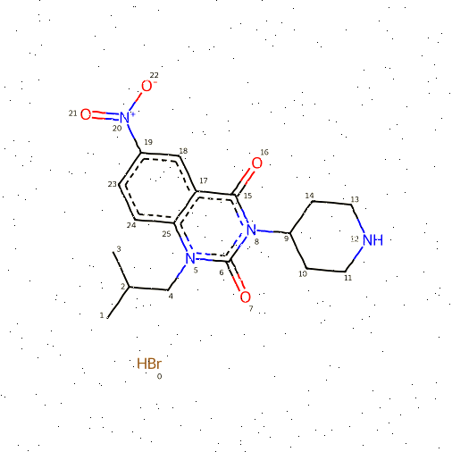 Br.CC(C)Cn1c(=O)n(C2CCNCC2)c(=O)c2cc([N+](=O)[O-])ccc21